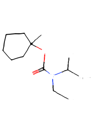 CCCCCCCC(C(C)C)N(CC(C)C)C(=O)OC1(CC)CCCCC1